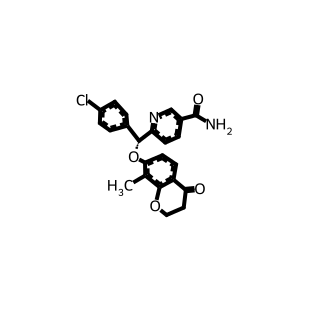 Cc1c(O[C@H](c2ccc(Cl)cc2)c2ccc(C(N)=O)cn2)ccc2c1OCCC2=O